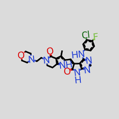 Cc1c(C=C2C(=O)Nc3ncnc(Nc4ccc(F)c(Cl)c4)c32)[nH]c2c1C(=O)N(CCN1CCOCC1)CC2